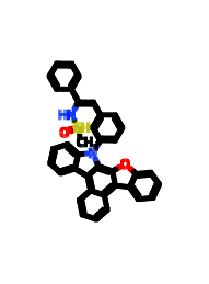 C[SH]1(=O)NC(c2ccccc2)=Cc2cccc(-n3c4ccccc4c4c5ccccc5c5c6ccccc6oc5c43)c21